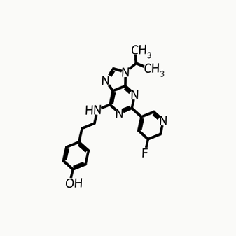 CC(C)n1cnc2c(NCCc3ccc(O)cc3)nc(C3=CC(F)CN=C3)nc21